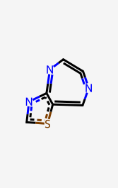 C1=CN=c2ncsc2=CN=1